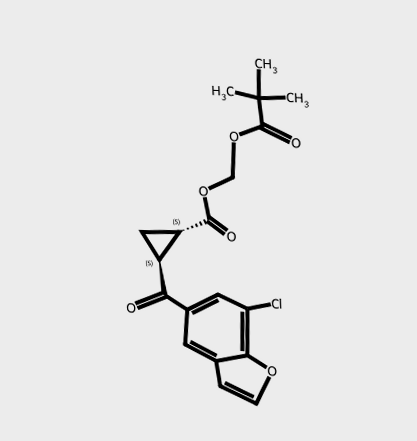 CC(C)(C)C(=O)OCOC(=O)[C@H]1C[C@@H]1C(=O)c1cc(Cl)c2occc2c1